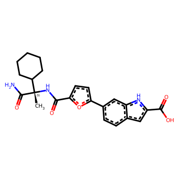 C[C@@](NC(=O)c1ccc(-c2ccc3cc(C(=O)O)[nH]c3c2)o1)(C(N)=O)C1CCCCC1